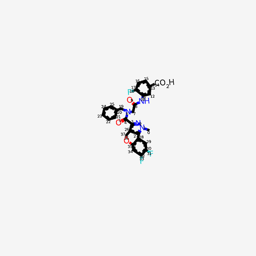 Cn1nc(C(=O)N(CC(=O)Nc2cc(C(=O)O)ccc2F)Cc2ccccc2)c2c1-c1cc(F)c(F)cc1OC2